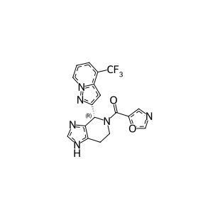 O=C(c1cnco1)N1CCc2[nH]cnc2[C@@H]1c1cc2c(C(F)(F)F)cccn2n1